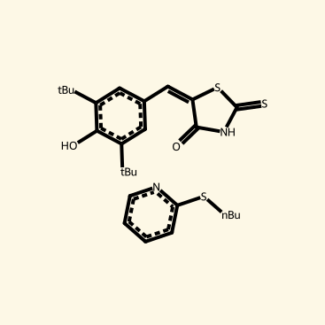 CC(C)(C)c1cc(C=C2SC(=S)NC2=O)cc(C(C)(C)C)c1O.CCCCSc1ccccn1